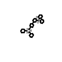 O=P1(c2ccccc2)c2ccccc2Sc2ccc(-c3ccc(-c4nc(-c5ccccc5)nc(-c5ccccc5)n4)cc3)cc21